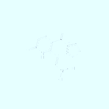 CN(C)C=Cc1[nH]c(=O)ccc1C(=O)c1ccsc1